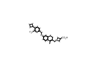 CC1=C(CN2CC(C(=O)O)C2)CCc2cc(OCc3ccc(C4CCC4)c(C(F)(F)F)n3)ccc21